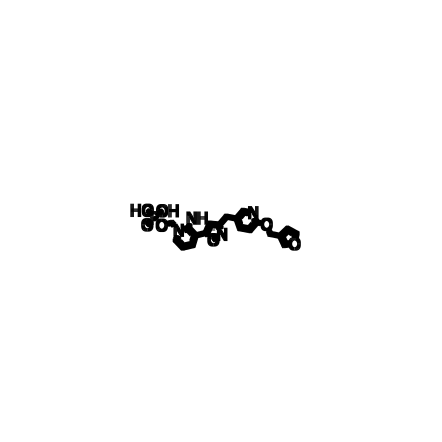 Nc1c(-c2cc(Cc3ccc(OCc4ccoc4)nc3)no2)ccc[n+]1COP(=O)(O)O